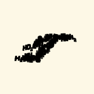 N=C(N)Nc1ccc(CNC(=O)N2CCN(C(=O)O[C@H]3CCC[C@@H](OC(=O)N4CCN(C(=O)NCc5ccc(NC(=N)N)cc5)CC4)CCC3)CC2)cc1.O=C(NCCC1CCNCC1)C1CCN(C(=O)O)CC1